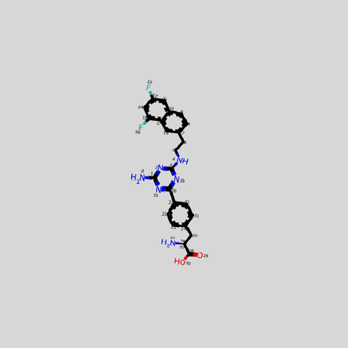 Nc1nc(NCCc2ccc3cc(F)cc(F)c3c2)nc(-c2ccc(C[C@H](N)C(=O)O)cc2)n1